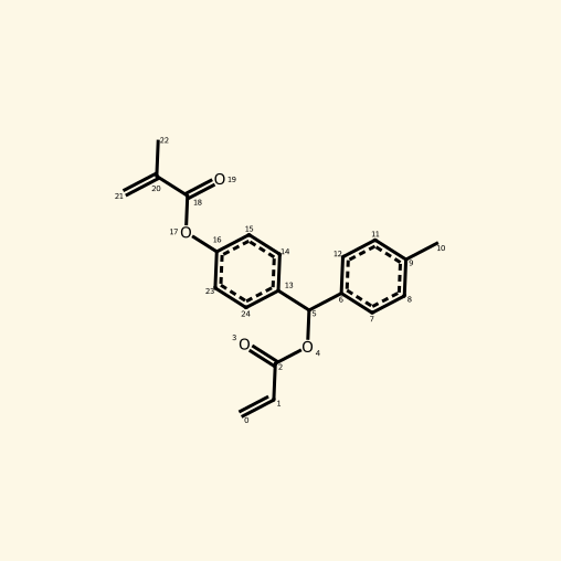 C=CC(=O)OC(c1ccc(C)cc1)c1ccc(OC(=O)C(=C)C)cc1